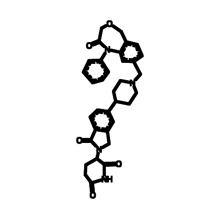 O=C1CCC(N2Cc3cc(C4CCN(Cc5ccc6c(c5)N(c5ccccc5)C(=O)COC6)CC4)ccc3C2=O)C(=O)N1